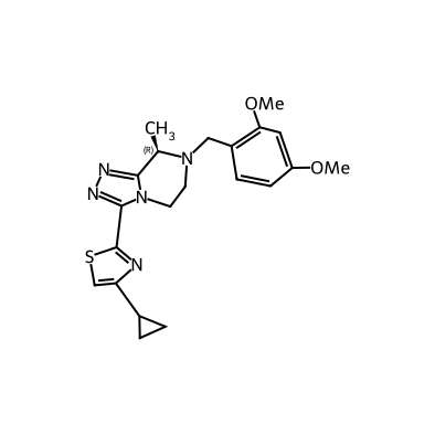 COc1ccc(CN2CCn3c(-c4nc(C5CC5)cs4)nnc3[C@H]2C)c(OC)c1